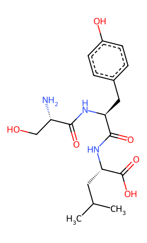 CC(C)C[C@H](NC(=O)[C@H](Cc1ccc(O)cc1)NC(=O)[C@@H](N)CO)C(=O)O